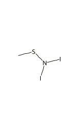 CSN(I)I